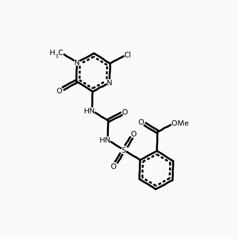 COC(=O)c1ccccc1S(=O)(=O)NC(=O)Nc1nc(Cl)cn(C)c1=O